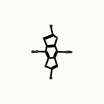 COc1c2cc(Br)sc2c(OC)c2cc(Br)sc12